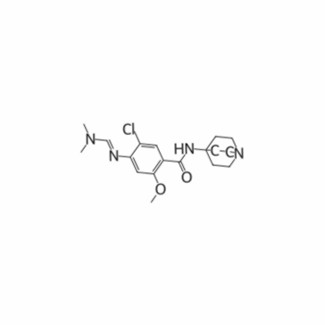 COc1cc(/N=C/N(C)C)c(Cl)cc1C(=O)NC12CCN(CC1)CC2